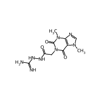 Cn1cnc2c1c(=O)n(CC(=O)NNC(=N)N)c(=O)n2C